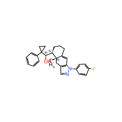 C[C@]12Cc3cnn(-c4ccc(F)cc4)c3C=C1CCC[C@@H]2[C@@H](O)C1(c2ccccc2)CC1